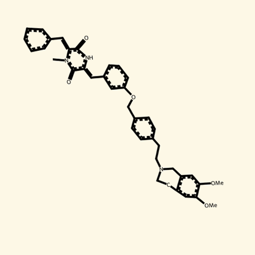 COc1cc2c(cc1OC)CN(CCc1ccc(COc3cccc(C=c4[nH]c(=O)c(=Cc5ccccc5)n(C)c4=O)c3)cc1)CC2